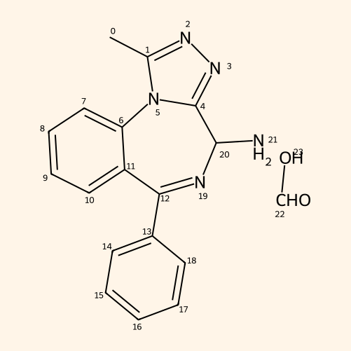 Cc1nnc2n1-c1ccccc1C(c1ccccc1)=NC2N.O=CO